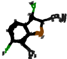 O=C(O)C1Sc2c(ccc(F)c2C(F)(F)F)C1Cl